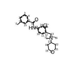 Cc1cccc(C(=O)Nc2ccc(C[N+](C)(C)C3CCOCC3)cc2)c1.[Cl-]